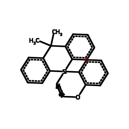 CC1(C)c2ccccc2[Si]2(c3ccccc3Oc3ccccc32)c2ccccc21